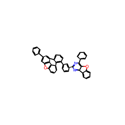 c1ccc(-c2cc3oc4cccc5c6c(-c7cccc(-c8nc(-c9ccccc9)c9oc%10ccccc%10c9n8)c7)cccc6c(c2)c3c45)cc1